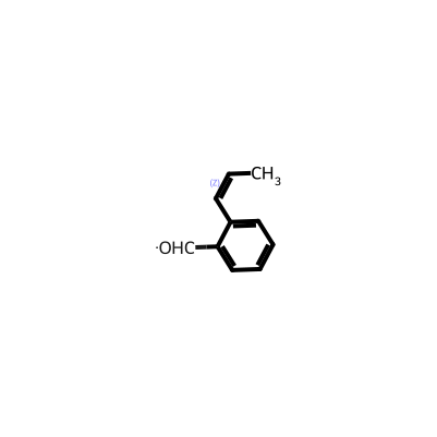 C/C=C\c1ccccc1[C]=O